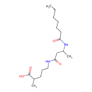 CCCCCCC(=O)NC(C)CC(=O)NCCCC(C)C(=O)O